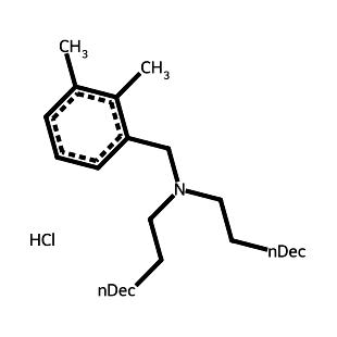 CCCCCCCCCCCCN(CCCCCCCCCCCC)Cc1cccc(C)c1C.Cl